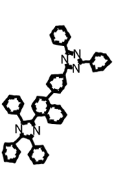 c1ccc(-c2nc(-c3ccccc3)nc(-c3ccc(-c4ccc(-c5nc(-c6ccccc6)c(-c6ccccc6)nc5-c5ccccc5)c5ccccc45)cc3)n2)cc1